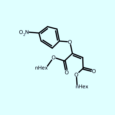 CCCCCCOC(=O)C=C(Oc1ccc([N+](=O)[O-])cc1)C(=O)OCCCCCC